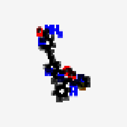 NC(=O)c1ccc(C#Cc2cnc3c(c2)C(=O)N(C(C(=O)Nc2nccs2)c2ccccc2)C3)cn1